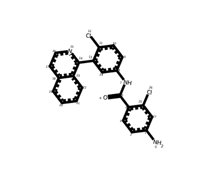 Nc1ccc(C(=O)Nc2ccc(Cl)c(-c3nccc4ccccc34)c2)c(Cl)c1